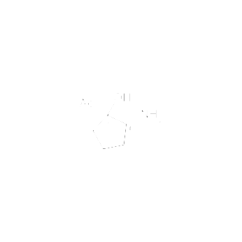 CC(=O)[C@@]1(O)CCC[C@H]1N